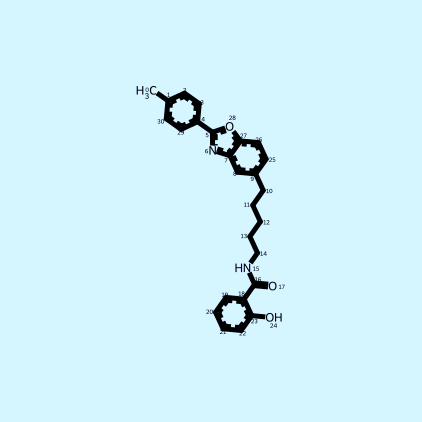 Cc1ccc(-c2nc3cc(CCCCCNC(=O)c4ccccc4O)ccc3o2)cc1